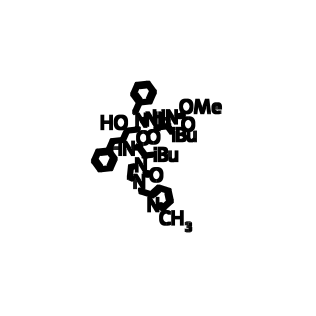 CCC(C)C(NC(=O)OC)C(=O)NN(Cc1ccccc1)CC(O)C(Cc1ccccc1)NC(=O)C(C(C)CC)N1CCN(Cc2cccc(C)n2)C1=O